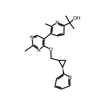 Cc1ncc(-c2ccc(C(C)(C)O)nc2C)c(OCC2C[C@H]2c2ccccn2)n1